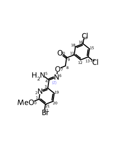 COc1nc(/C(N)=N/OCC(=O)c2cc(Cl)cc(Cl)c2)ccc1Br